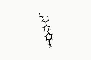 C/C=C/OC(CC)C1CCC(c2ccc(C#N)cc2)CC1